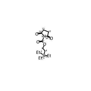 CC[Si](CC)(CC)CCOC(=O)N1C(=O)CCC1=O